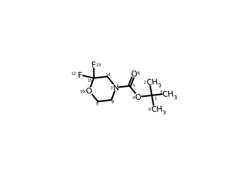 CC(C)(C)OC(=O)N1CCOC(F)(F)C1